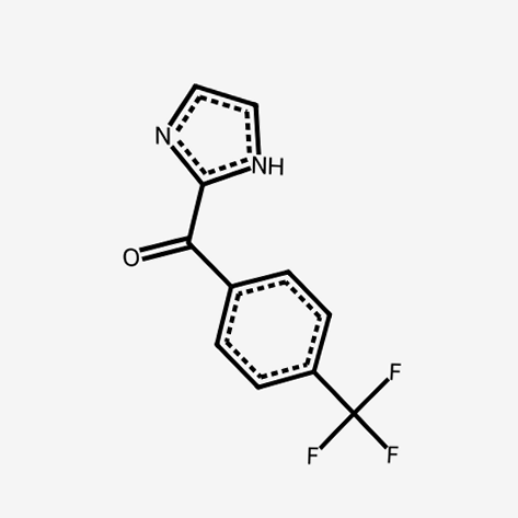 O=C(c1ccc(C(F)(F)F)cc1)c1ncc[nH]1